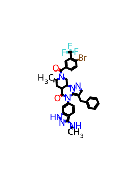 CNc1n[nH]c2cc(N3C(=O)C4C[C@@H](C)N(C(=O)c5ccc(Br)c(C(F)(F)F)c5)CC4n4ncc(Cc5ccccc5)c43)ccc12